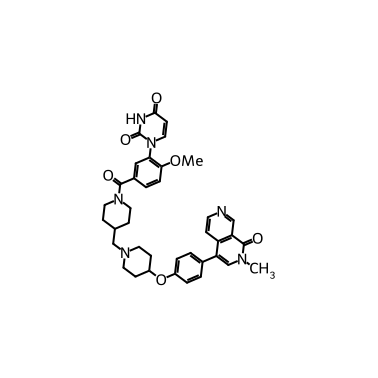 COc1ccc(C(=O)N2CCC(CN3CCC(Oc4ccc(-c5cn(C)c(=O)c6cnccc56)cc4)CC3)CC2)cc1-n1ccc(=O)[nH]c1=O